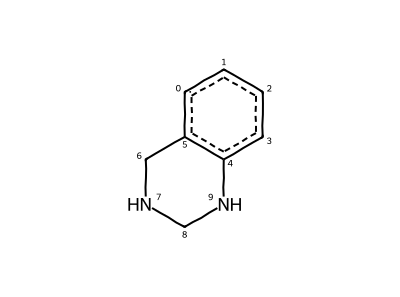 [c]1cccc2c1CNCN2